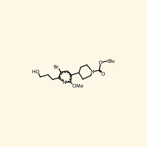 COc1nc(CCCO)c(Br)cc1C1CCN(C(=O)OC(C)(C)C)CC1